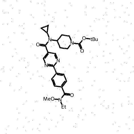 CCN(OC)C(=O)c1ccc(-c2ncc(C(=O)N(C3CC3)C3CCN(C(=O)OC(C)(C)C)CC3)cn2)cc1